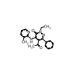 CCn1nc(-c2ccccc2)c(C(C)=O)c(Nc2ncccc2C)c1=O